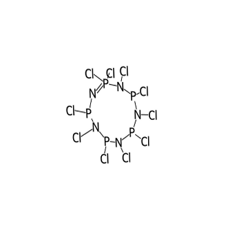 ClN1P(Cl)N=P(Cl)(Cl)N(Cl)P(Cl)N(Cl)P(Cl)N(Cl)P1Cl